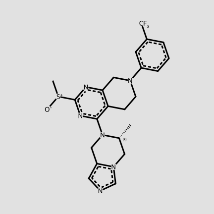 C[C@@H]1Cn2cncc2CN1c1nc([S+](C)[O-])nc2c1CCN(c1cccc(C(F)(F)F)c1)C2